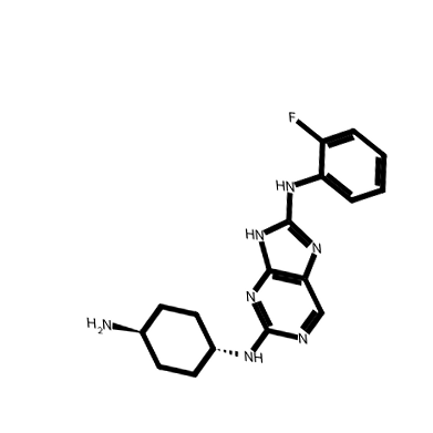 N[C@H]1CC[C@H](Nc2ncc3nc(Nc4ccccc4F)[nH]c3n2)CC1